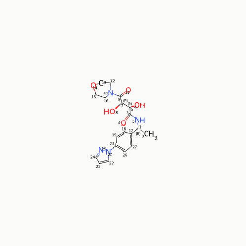 C[C@@H](NC(=O)[C@H](O)[C@@H](O)C(=O)N1CCOCC1)c1ccc(-n2cccn2)cc1